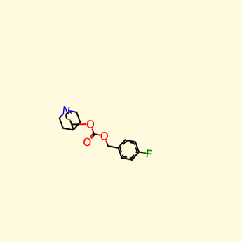 O=C(OCc1ccc(F)cc1)OC1CN2CCC1CC2